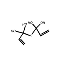 C=CC(O)(O)SC(O)(O)C=C